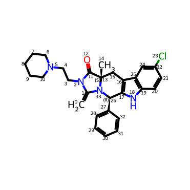 C=C1N(CCN2CCCCC2)C(=O)[C@]2(C)Cc3c([nH]c4ccc(Cl)cc34)[C@@H](c3ccccc3)N12